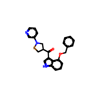 O=C(c1c[nH]c2cccc(OCc3ccccc3)c12)C1CSN(c2cccnc2)C1